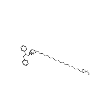 CCCCCCCCCCCCCCCCCCCn1cc[n+](CC(Cc2ccccc2)c2ccccc2)c1